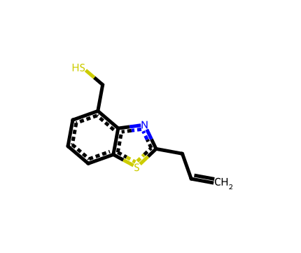 C=CCc1nc2c(CS)cccc2s1